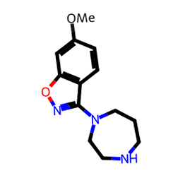 COc1ccc2c(N3CCCNCC3)noc2c1